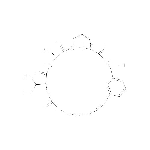 CC(C)[C@@H]1OC(=O)CCCCC=Cc2cccc(c2)[C@@H](C)NC(=O)[C@@H]2CCCN(N2)C(=O)[C@H](C)NC1=O